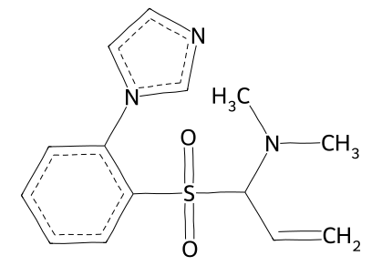 C=CC(N(C)C)S(=O)(=O)c1ccccc1-n1ccnc1